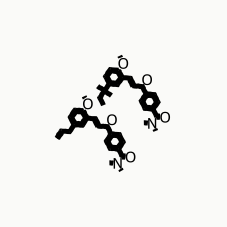 C=CCc1ccc(OC)c(C=CC(=O)c2ccc(C(=O)N(C)C)cc2)c1.CCC(C)(C)c1ccc(OC)c(C=CC(=O)c2ccc(C(=O)N(C)C)cc2)c1